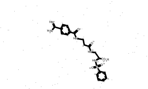 N=C(N)c1ccc(C(=O)NCCC(=O)NCC(NS(=O)(=O)c2ccccc2)C(=O)O)cc1